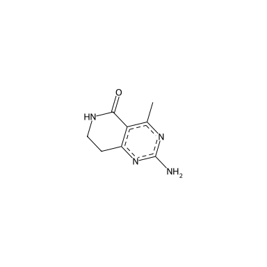 Cc1nc(N)nc2c1C(=O)NCC2